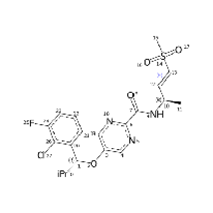 CC(C)[C@@H](Oc1cnc(C(=O)N[C@H](C)/C=C/S(C)(=O)=O)nc1)c1cccc(F)c1Cl